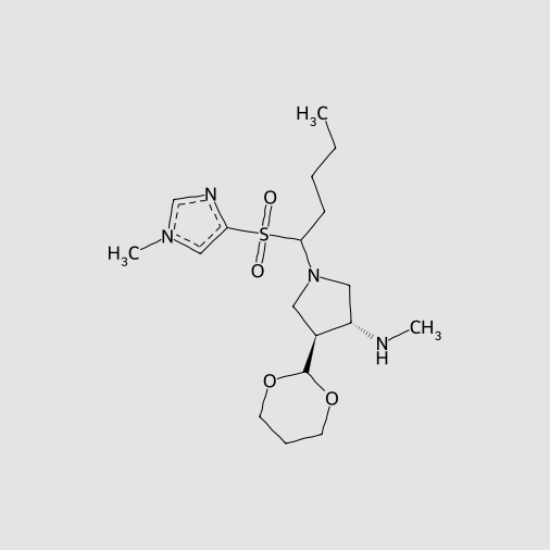 CCCCC(N1C[C@H](NC)[C@@H](C2OCCCO2)C1)S(=O)(=O)c1cn(C)cn1